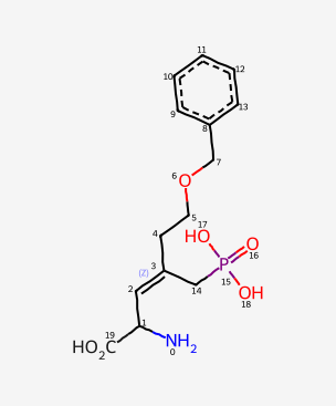 NC(/C=C(/CCOCc1ccccc1)CP(=O)(O)O)C(=O)O